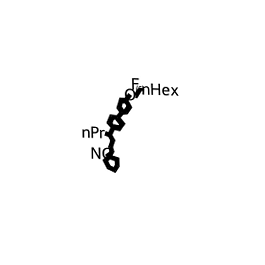 CCCCCC[C@H](F)COc1ccc(-c2ccc(C(CCC)CCCC3(C#N)CCCCC3)cc2)cc1